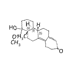 COCC1(O)CCC[C@H]2[C@@H]3CCC4=CC(=O)CCC4=C3CC[C@@]21C